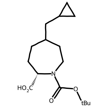 CC(C)(C)OC(=O)N1CCC(CC2CC2)CC[C@H]1C(=O)O